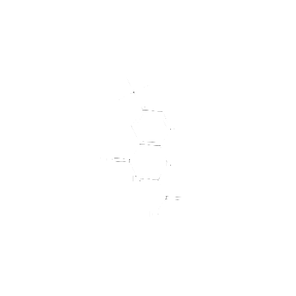 CC(C)(C)c1ccc2nc(C(=O)O)[nH]c(=O)c2c1